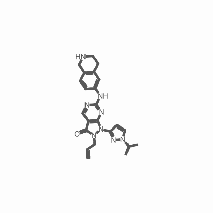 C=CCn1c(=O)c2cnc(Nc3ccc4c(c3)CCNC4)nc2n1-c1ccn(C(C)C)n1